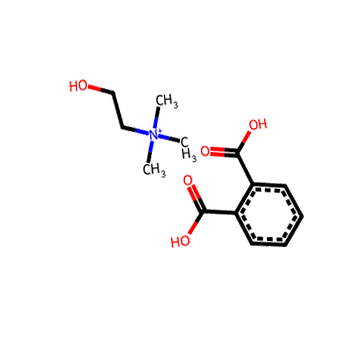 C[N+](C)(C)CCO.O=C(O)c1ccccc1C(=O)O